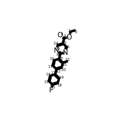 CCOC(=O)c1cnc(-c2ccc(-c3ccc(F)cc3)cc2C)nc1